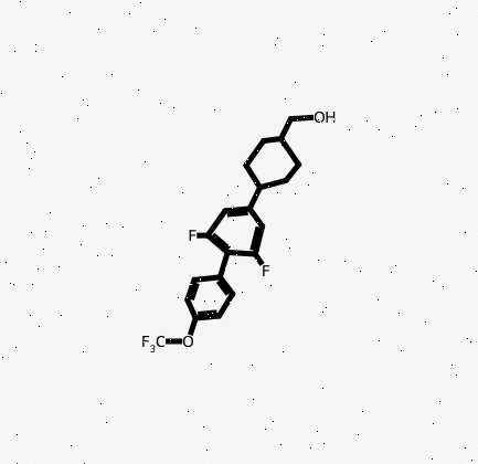 OCC1CCC(c2cc(F)c(-c3ccc(OC(F)(F)F)cc3)c(F)c2)CC1